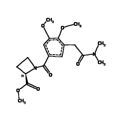 COC(=O)[C@H]1CCN1C(=O)c1cc(CC(=O)N(C)C)c(OC)c(OC)c1